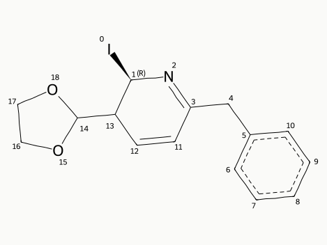 I[C@H]1N=C(Cc2ccccc2)C=CC1C1OCCO1